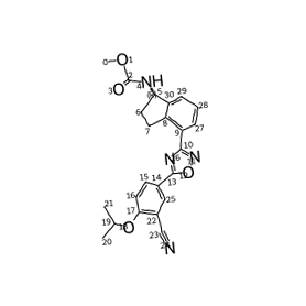 COC(=O)N[C@@H]1CCc2c(-c3noc(-c4ccc(OC(C)C)c(C#N)c4)n3)cccc21